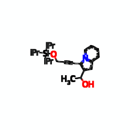 CC(O)c1cc2ccccn2c1C#CCO[Si](C(C)C)(C(C)C)C(C)C